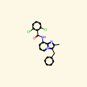 Cc1nc2c(NC(=O)c3c(Cl)cccc3Cl)cccn2c1Cc1ccccc1